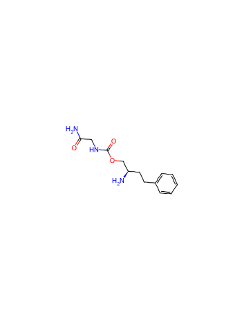 NC(=O)CNC(=O)OC[C@H](N)CCc1ccccc1